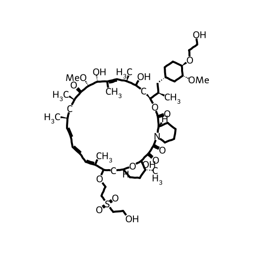 CO[C@@H]1C[C@H](C[C@@H](C)[C@@H]2CC(O)[C@H](C)/C=C(\C)[C@@H](O)[C@@H](OC)C(=O)[C@H](C)C[C@H](C)/C=C/C=C/C=C(\C)C(OCCS(=O)(=O)CCO)C[C@@H]3CC[C@@H](C)[C@@](O)(O3)C(=O)C(=O)N3CCCC[C@H]3C(=O)O2)CC[C@H]1OCCO